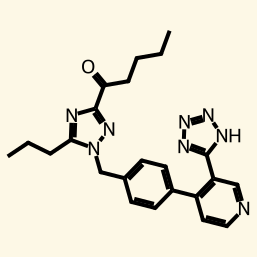 CCCCC(=O)c1nc(CCC)n(Cc2ccc(-c3ccncc3-c3nnn[nH]3)cc2)n1